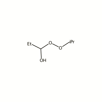 [CH2]C(C)OOC(O)CC